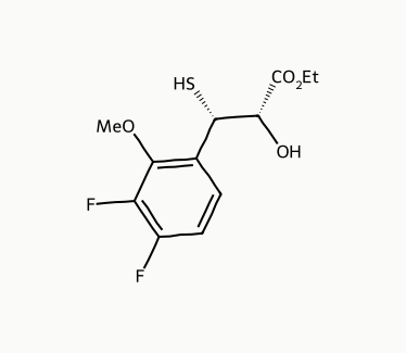 CCOC(=O)[C@H](O)[C@@H](S)c1ccc(F)c(F)c1OC